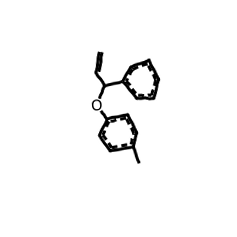 C=CC(Oc1ccc(C)cc1)c1ccccc1